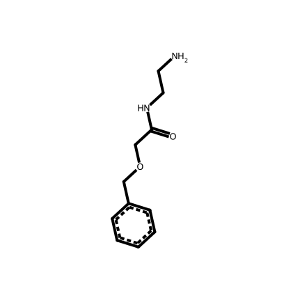 NCCNC(=O)COCc1ccccc1